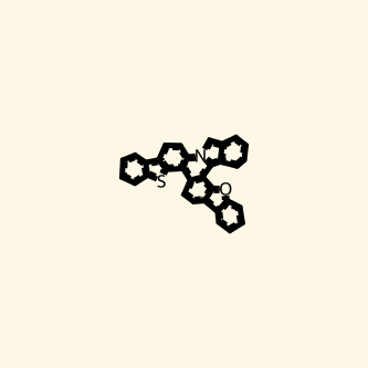 c1ccc2c(c1)cn1c3ccc4c5ccccc5sc4c3c3ccc4c5ccccc5oc4c3c21